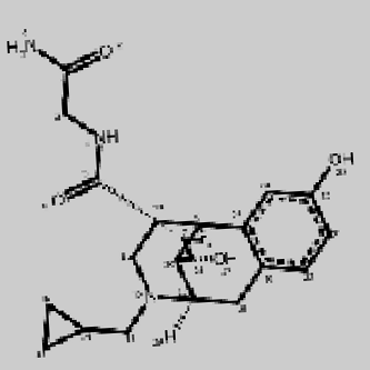 NC(=O)CNC(=O)[C@@H]1C[C@]23CCN(CC4CC4)[C@H](Cc4ccc(O)cc42)[C@]3(O)C1